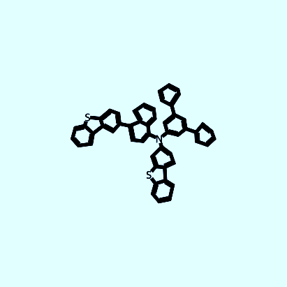 c1ccc(-c2cc(-c3ccccc3)cc(N(c3ccc4c(c3)sc3ccccc34)c3ccc(-c4ccc5sc6ccccc6c5c4)c4ccccc34)c2)cc1